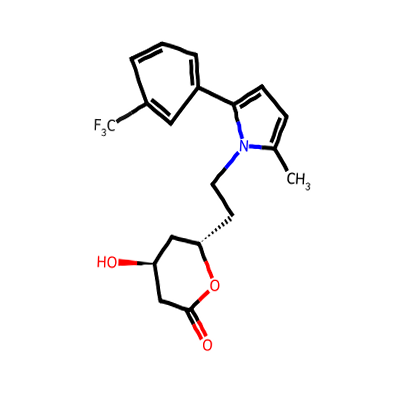 Cc1ccc(-c2cccc(C(F)(F)F)c2)n1CC[C@H]1C[C@H](O)CC(=O)O1